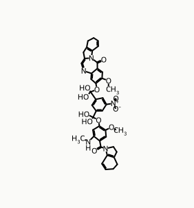 CNc1cc(OC(O)(O)c2cc([N+](=O)[O-])cc(C(O)(O)Oc3cc4c(cc3OC)C(=O)N3C(=C=N4)CC4=C3C=CCC4)c2)c(OC)cc1C(=O)N1CCC2=C1C=CCC2